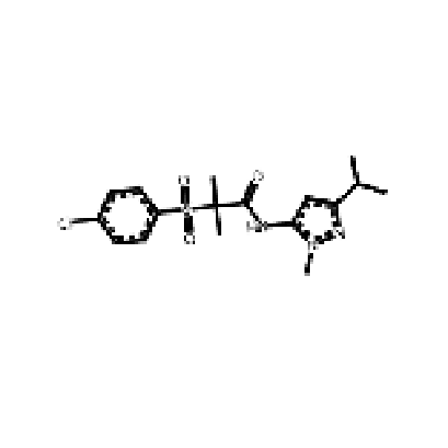 CC(C)c1cc(NC(=O)C(C)(C)S(=O)(=O)c2ccc(Cl)cc2)n(C)n1